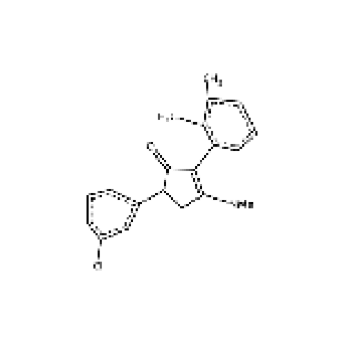 CNC1=C(c2cccc(C)c2C)C(=O)C(c2cccc(Cl)c2)C1